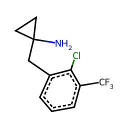 NC1(Cc2cccc(C(F)(F)F)c2Cl)CC1